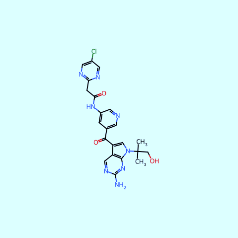 CC(C)(CO)n1cc(C(=O)c2cncc(NC(=O)Cc3ncc(Cl)cn3)c2)c2cnc(N)nc21